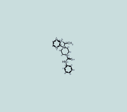 CC(C)[N+]1(c2cnccn2)CCN(C(=S)Nc2ccccc2)CC1